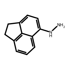 NNc1ccc2c3c(cccc13)CC2